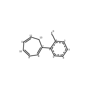 Ic1ccccc1C1=CC=CC=CC1